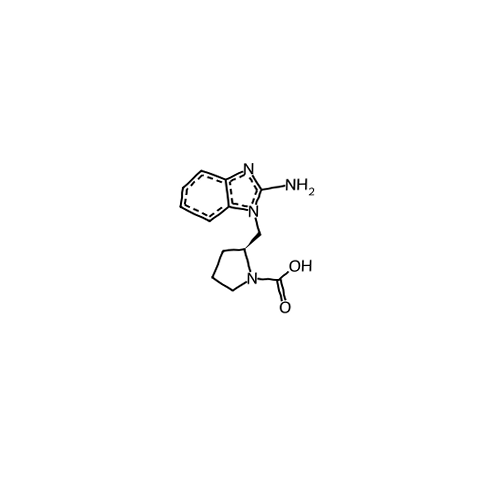 Nc1nc2ccccc2n1C[C@@H]1CCCN1C(=O)O